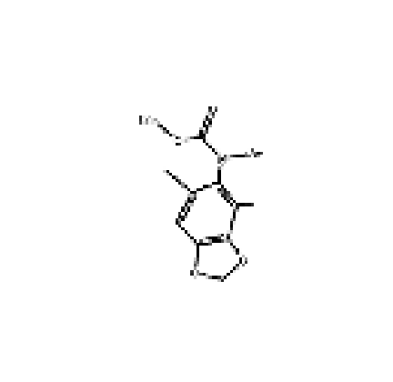 CC(=O)N(C(=O)OC(C)(C)C)c1c(C)cc2c(c1C)OCO2